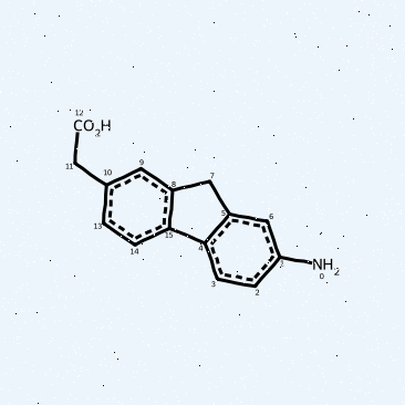 Nc1ccc2c(c1)Cc1cc(CC(=O)O)ccc1-2